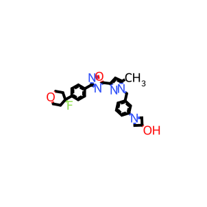 Cc1cc(-c2nc(-c3ccc(C4(F)CCOCC4)cc3)no2)nn1Cc1cccc(N2CC(O)C2)c1